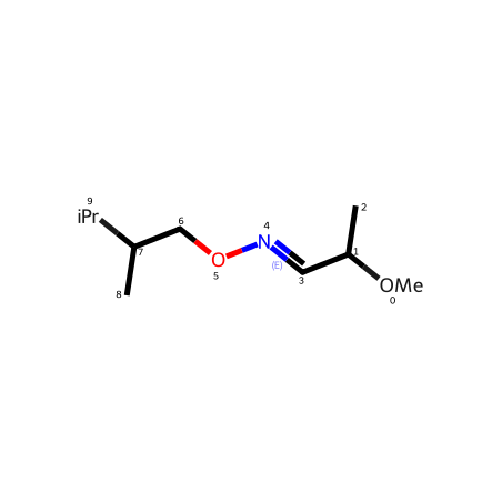 COC(C)/C=N/OCC(C)C(C)C